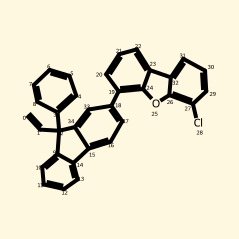 C=CC1(c2ccccc2)c2ccccc2-c2ccc(-c3cccc4c3oc3c(Cl)cccc34)cc21